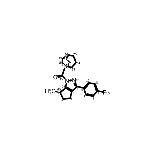 C[C@@H]1CCc2c(-c3ccc(F)cc3)nn(C(=O)N3CCN4CCC3CC4)c21